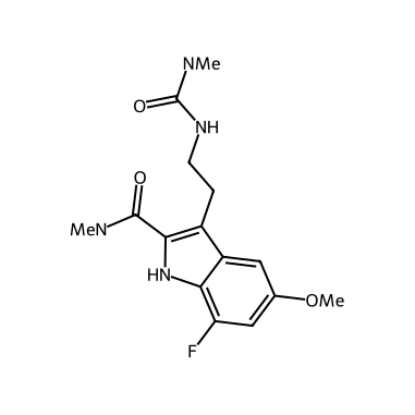 CNC(=O)NCCc1c(C(=O)NC)[nH]c2c(F)cc(OC)cc12